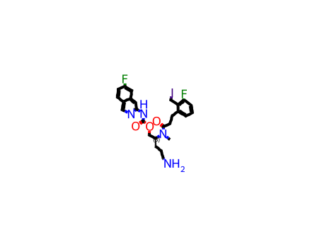 CN(C(=O)CCc1cccc(F)c1CI)[C@@H](CCCN)COC(=O)Nc1cc2cc(F)ccc2cn1